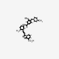 Cc1ccc(NC(=O)c2ccc(CN3CCN(C)CC3)c(C(C)(C)C)c2)cc1C#Cc1nnc2c(C(=O)O)cccn12